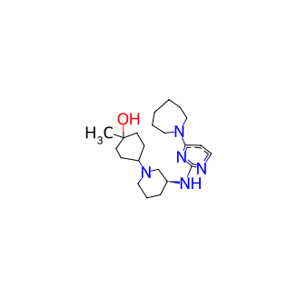 CC1(O)CCC(N2CCC[C@H](Nc3nccc(N4CCCCCC4)n3)C2)CC1